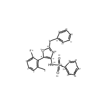 Cc1cccc(F)c1-c1oc(Cc2ccccc2)nc1NS(=O)(=O)c1ccccc1